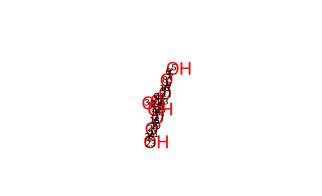 COC(=O)O.OCCOCCOCCOCCOCCOCCO